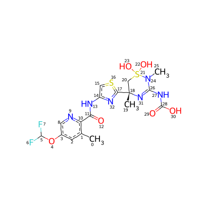 Cc1cc(OC(F)F)cnc1C(=O)Nc1csc([C@]2(C)CS(O)(O)N(C)C(NC(=O)O)=N2)n1